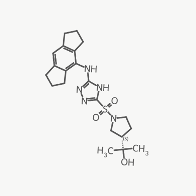 CC(C)(O)[C@H]1CCN(S(=O)(=O)c2nnc(Nc3c4c(cc5c3CCC5)CCC4)[nH]2)C1